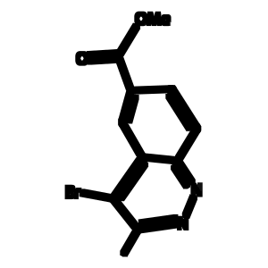 COC(=O)c1ccc2nnc(C)c(Br)c2c1